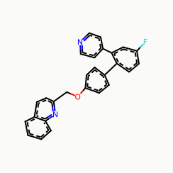 Fc1ccc(-c2ccc(OCc3ccc4ccccc4n3)cc2)c(-c2ccncc2)c1